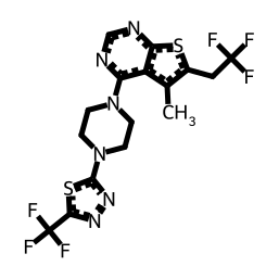 Cc1c(CC(F)(F)F)sc2ncnc(N3CCN(c4nnc(C(F)(F)F)s4)CC3)c12